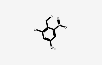 Cc1cc(Cl)c(CBr)c([N+](=O)[O-])c1